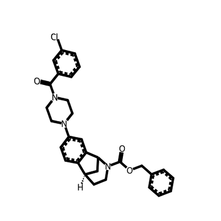 O=C(c1cccc(Cl)c1)N1CCN(c2ccc3c(c2)C2C[C@H]3CCN2C(=O)OCc2ccccc2)CC1